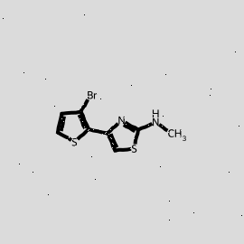 CNc1nc(-c2sccc2Br)cs1